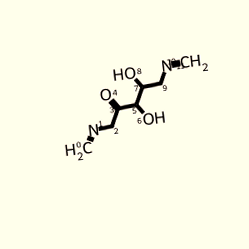 C=NCC(=O)C(O)C(O)CN=C